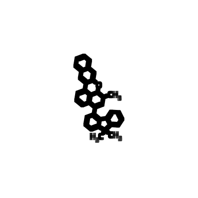 CC1C=C(c2cccc3c2-c2ccccc2C3(C)C)c2cccc3c2C1Oc1cc2ccccc2cc1-3